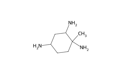 CC1(N)CCC(N)CC1N